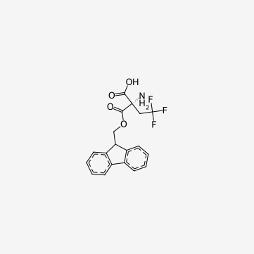 N[C@@](CC(F)(F)F)(C(=O)O)C(=O)OCC1c2ccccc2-c2ccccc21